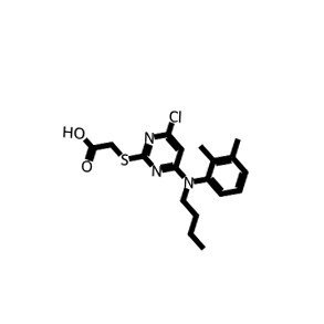 CCCCN(c1cc(Cl)nc(SCC(=O)O)n1)c1cccc(C)c1C